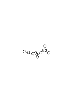 c1ccc(-c2ccc(-c3ccc4c(ccc5c4c4ccccc4n5-c4ccc(-c5cc(-c6ccccc6)nc(-c6ccccc6)n5)cc4)c3)cc2)cc1